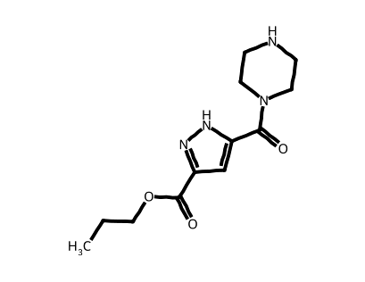 CCCOC(=O)c1cc(C(=O)N2CCNCC2)[nH]n1